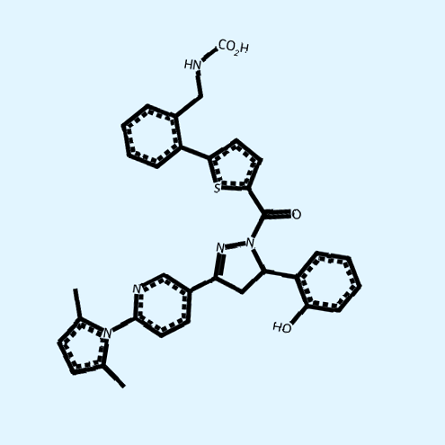 Cc1ccc(C)n1-c1ccc(C2=NN(C(=O)c3ccc(-c4ccccc4CNC(=O)O)s3)C(c3ccccc3O)C2)cn1